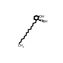 CCCCCCCCCCCCCCCc1cccc(O)c1C=NO